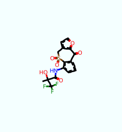 CC(O)(C(=O)Nc1cccc2c1S(=O)(=O)Cc1ccoc1C2=O)C(F)(F)F